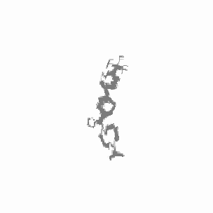 CC(C)N1CCCN(C(=O)c2ccc(-c3ccc(C(F)(F)F)nc3)cc2)CC1